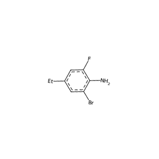 CCc1cc(F)c(N)c(Br)c1